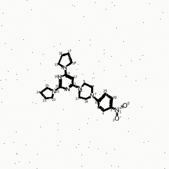 O=[N+]([O-])c1ccc(N2CCN(c3cc(N4CCCC4)nc(N4CCCC4)n3)CC2)cc1